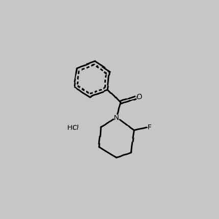 Cl.O=C(c1ccccc1)N1CCCCC1F